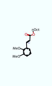 CCCCCCCCOC(=O)/C=C/c1cccc(OC)c1OC